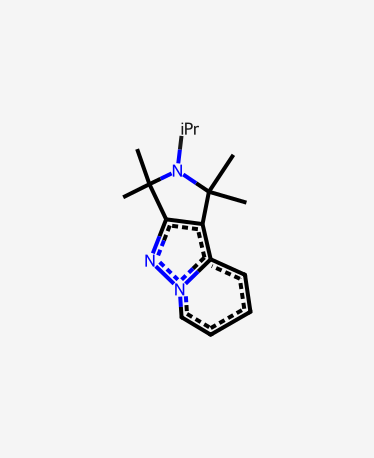 CC(C)N1C(C)(C)c2nn3ccccc3c2C1(C)C